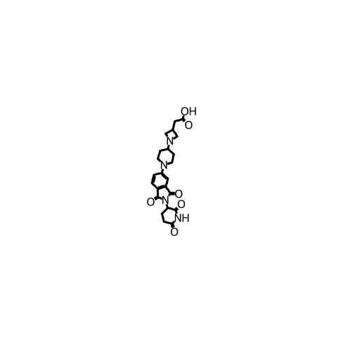 O=C(O)CC1CN(C2CCN(c3ccc4c(c3)C(=O)N(C3CCC(=O)NC3=O)C4=O)CC2)C1